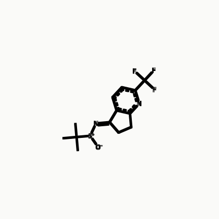 CC(C)(C)[S+]([O-])N=C1CCc2nc(C(F)(F)F)ccc21